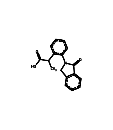 CC(C(=O)O)c1ccccc1N1Cc2ccccc2C1=O